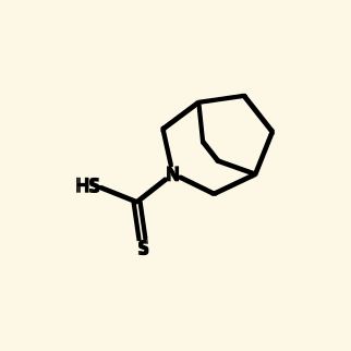 S=C(S)N1CC2CCC(CC2)C1